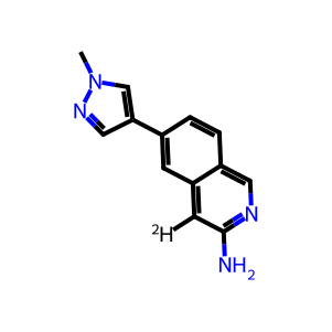 [2H]c1c(N)ncc2ccc(-c3cnn(C)c3)cc12